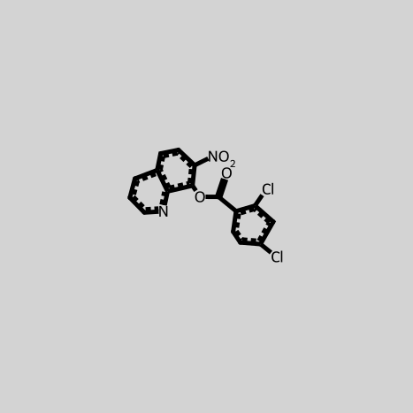 O=C(Oc1c([N+](=O)[O-])ccc2cccnc12)c1ccc(Cl)cc1Cl